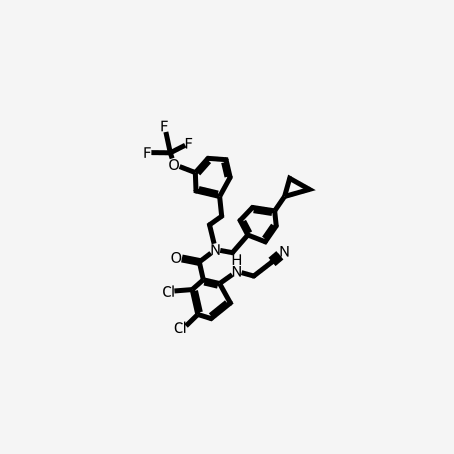 N#CCNc1ccc(Cl)c(Cl)c1C(=O)N(CCc1cccc(OC(F)(F)F)c1)Cc1ccc(C2CC2)cc1